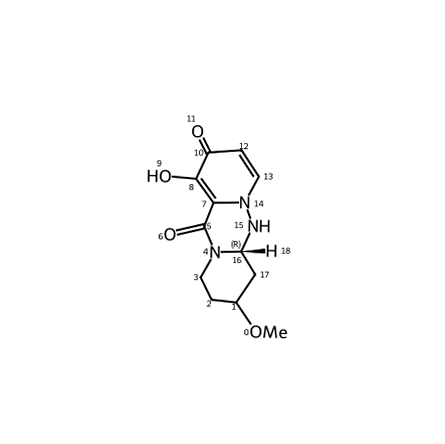 COC1CCN2C(=O)c3c(O)c(=O)ccn3N[C@@H]2C1